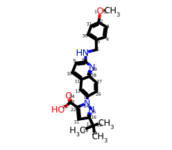 COc1ccc(CNc2ccc3cc(-n4nc(C(C)(C)C)cc4C(=O)O)ccc3n2)cc1